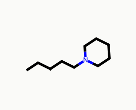 CC[CH]CCN1CCCCC1